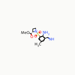 COC(=O)[C@@H]1CCN1S(=O)(=O)c1cc(C)cc(C=N)c1N